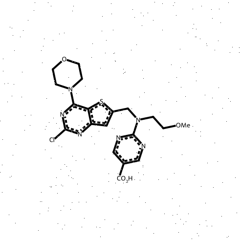 COCCN(Cc1cc2nc(Cl)nc(N3CCOCC3)c2s1)c1ncc(C(=O)O)cn1